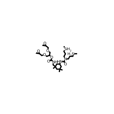 C[SiH2]CCCN(CCC[SiH2]C)C(=O)NC1CC(C)(C)CC(C)(CNC(=O)OC(COCC2CO2)COCC2CO2)C1